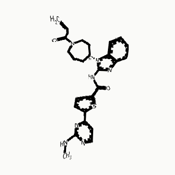 C=CC(=O)N1CCC[C@@H](n2c(NC(=O)c3ccc(-c4ccnc(NC)n4)s3)nc3ccccc32)CC1